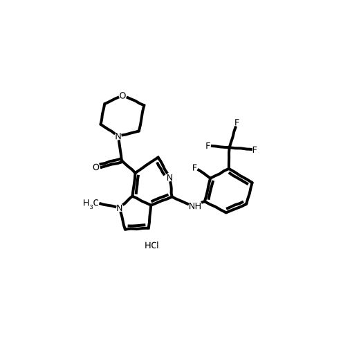 Cl.Cn1ccc2c(Nc3cccc(C(F)(F)F)c3F)ncc(C(=O)N3CCOCC3)c21